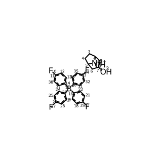 C[NH+]1C2CCC1CC(O)C2.Fc1ccc([B-](c2ccc(F)cc2)(c2ccc(F)cc2)c2ccc(F)cc2)cc1